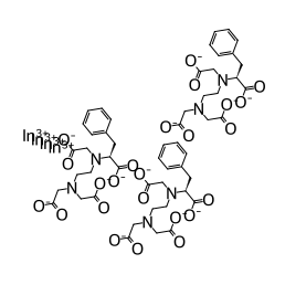 O=C([O-])CN(CCN(CC(=O)[O-])[C@@H](Cc1ccccc1)C(=O)[O-])CC(=O)[O-].O=C([O-])CN(CCN(CC(=O)[O-])[C@@H](Cc1ccccc1)C(=O)[O-])CC(=O)[O-].O=C([O-])CN(CCN(CC(=O)[O-])[C@@H](Cc1ccccc1)C(=O)[O-])CC(=O)[O-].[In+3].[In+3].[In+3].[In+3]